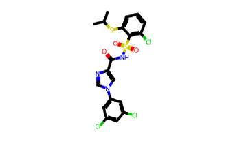 CC(C)Sc1cccc(Cl)c1S(=O)(=O)NC(=O)c1cn(-c2cc(Cl)cc(Cl)c2)cn1